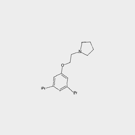 CC(C)c1[c]c(C(C)C)cc(OCCN2CCCC2)c1